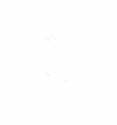 CC(=O)c1n[nH]c2ccc(-c3cncc(CN4CCC4)c3)cc12